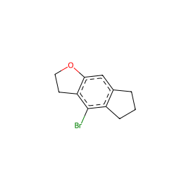 Brc1c2c(cc3c1CCO3)CCC2